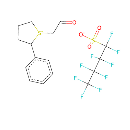 O=CC[S+]1CCCC1c1ccccc1.O=S(=O)([O-])C(F)(F)C(F)(F)C(F)(F)C(F)(F)F